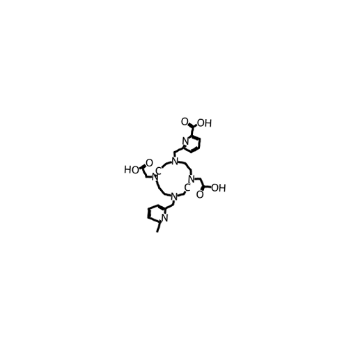 Cc1cccc(CN2CCN(CC(=O)O)CCN(Cc3cccc(C(=O)O)n3)CCN(CC(=O)O)CC2)n1